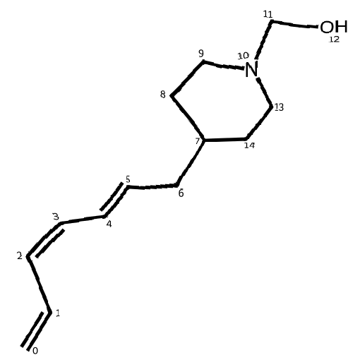 C=C/C=C\C=C\CC1CCN(CO)CC1